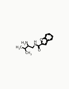 CC(C)C(N)CNC(=O)c1cc2ccccc2o1